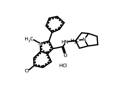 CN1C2CCC1CC(NC(=O)c1c(-c3ccccc3)n(C)c3cc(Cl)ccc13)C2.Cl